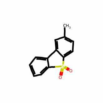 Cc1ccc2c(c1)-c1ccccc1S2(=O)=O